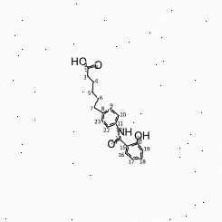 O=C(O)CCCCCc1ccc(NC(=O)c2ccccc2O)cc1